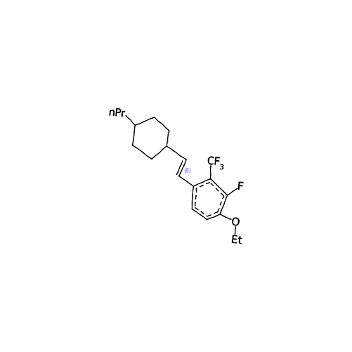 CCCC1CCC(/C=C/c2ccc(OCC)c(F)c2C(F)(F)F)CC1